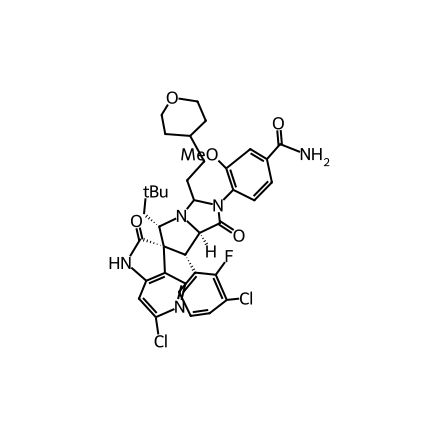 COc1cc(C(N)=O)ccc1N1C(=O)[C@H]2[C@H](c3cccc(Cl)c3F)[C@]3(C(=O)Nc4cc(Cl)ncc43)[C@H](CC(C)(C)C)N2C1CCC1CCOCC1